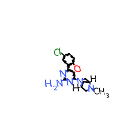 CN1C[C@@H]2C[C@H]1CN2c1nc(N)nc2c1oc1ccc(Cl)cc12